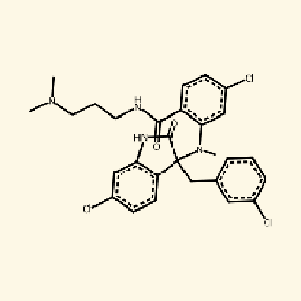 CN(C)CCCNC(=O)c1ccc(Cl)cc1N(C)C1(Cc2cccc(Cl)c2)C(=O)Nc2cc(Cl)ccc21